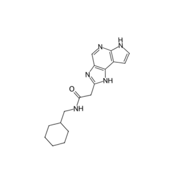 O=C(Cc1nc2cnc3[nH]ccc3c2[nH]1)NCC1CCCCC1